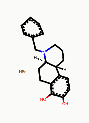 Br.Oc1ccc2c(c1O)CC[C@@H]1[C@@H]2CCCN1Cc1ccccc1